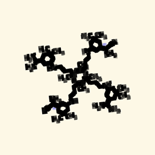 CC1(C)CC(NCCC[Si]2(C)O[Si](C)(CCCNC3=C/C(=C(\N)C#N)CC(C)(C)C3)O[Si](C)(CCCNC3=CC(=C(N)N)CC(C)(C)C3)O[Si](C)(CCCNC3=C/C(=C(\N)C#N)CC(C)(C)C3)O2)=CC(=C(N)N)C1